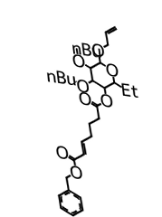 C=CCOC1OC(CC)C(OC(=O)CCC/C=C/C(=O)OCc2ccccc2)C(OCCCC)C1OCCCC